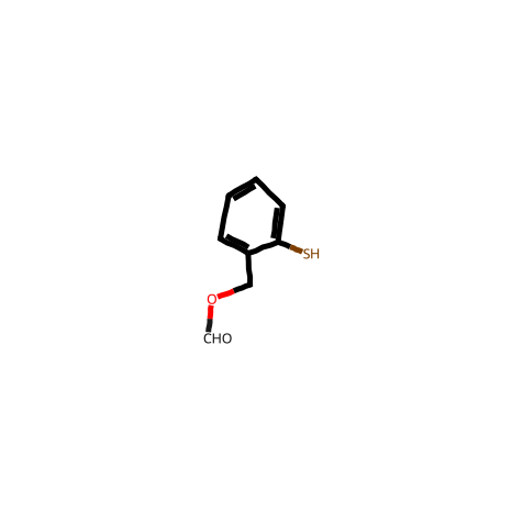 O=COCc1ccccc1S